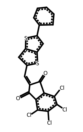 O=C1C(=Cc2cc3sc(-c4ccccc4)cc3s2)C(=O)c2c(Cl)c(Cl)c(Cl)c(Cl)c21